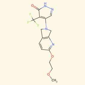 COCCOc1ccc2c(n1)CN(c1cn[nH]c(=O)c1C(F)(F)F)C2